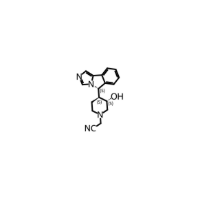 N#CCN1CC[C@@H]([C@H]2c3ccccc3-c3cncn32)[C@H](O)C1